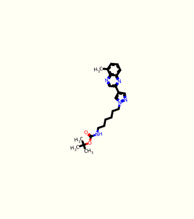 Cc1cccc2nc(-c3cnn(CCCCCCNC(=O)OC(C)(C)C)c3)cnc12